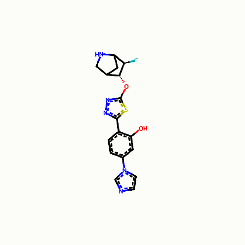 Oc1cc(-n2ccnc2)ccc1-c1nnc(O[C@@H]2C3CNC(C3)[C@H]2F)s1